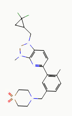 Cc1ccc(CN2CCS(=O)(=O)CC2)cc1-c1ccc2c(n1)N(C)SN2CC1CC1(F)F